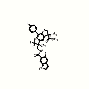 C[C@]1(C(N)=O)COc2c1cc(C(O)(CNC(=O)c1cc3[nH]ccc3cc1F)C(F)(F)F)nc2-c1ccc(F)cc1